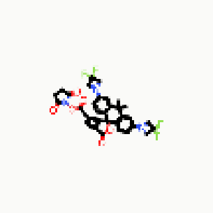 CC1(C)c2cc(N3CC(F)(F)C3)ccc2C2(OC(=O)c3ccc(C(=O)ON4C(=O)CCC4=O)cc32)c2ccc(N3CC(F)(F)C3)cc21